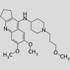 COCCCN1CCC(Nc2c3c(nc4cc(OC)c(OC)cc24)CCC3)CC1